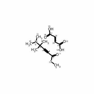 CSC(=O)C#CC(C)(C)N(C)C.O=C(O)/C=C/C(=O)O